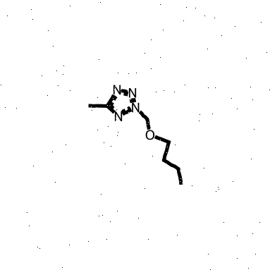 CCCCOCn1nnc(C)n1